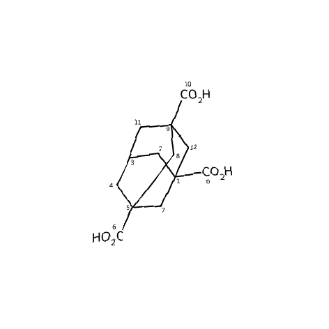 O=C(O)C12CC3CC(C(=O)O)(C1)CC(C(=O)O)(C3)C2